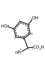 CCCC(C(=O)O)c1cc(O)cc(O)c1